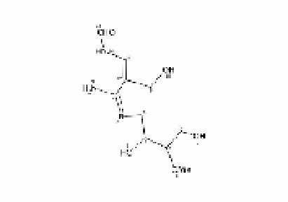 COC(CO)C(O)C/N=C(N)\C(=C/NC=O)CO